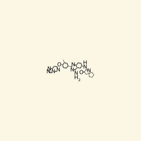 Cc1cc(-c2nc(N)c3cc(NC4=NC5(CCCC5)CC4=O)ccc3n2)ccc1Oc1cc2nncn2cn1